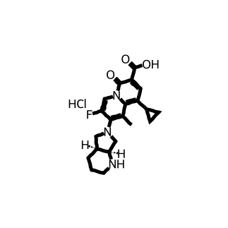 Cc1c(N2C[C@@H]3CCCN[C@@H]3C2)c(F)cn2c(=O)c(C(=O)O)cc(C3CC3)c12.Cl